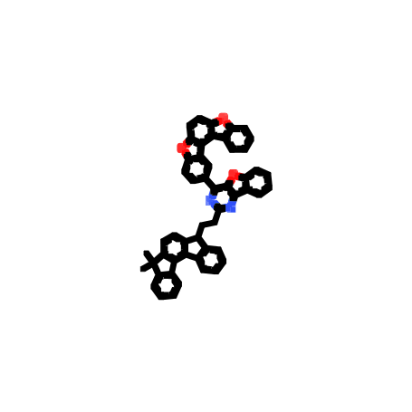 CC1(C)c2ccccc2-c2c1ccc1c2-c2ccccc2C1CCc1nc(-c2ccc3oc4ccc5oc6ccccc6c5c4c3c2)c2oc3ccccc3c2n1